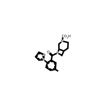 Cc1ccc(-n2cccn2)c(C(=O)N2CC3CCN(C(=O)O)CC32)c1